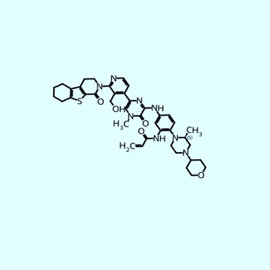 C=CC(=O)Nc1cc(Nc2nc(-c3ccnc(N4CCc5c(sc6c5CCCC6)C4=O)c3CO)cn(C)c2=O)ccc1N1CCN(C2CCOCC2)C[C@@H]1C